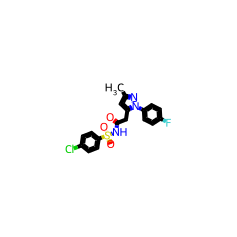 Cc1cc(CC(=O)NS(=O)(=O)c2ccc(Cl)cc2)n(-c2ccc(F)cc2)n1